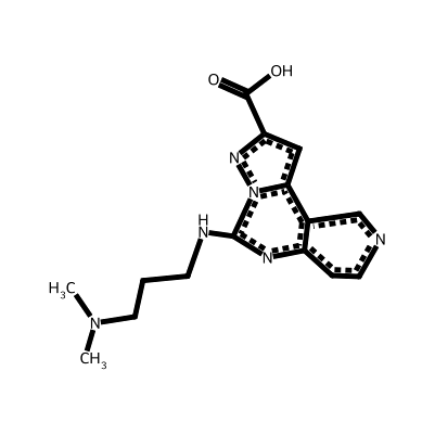 CN(C)CCCNc1nc2ccncc2c2cc(C(=O)O)nn12